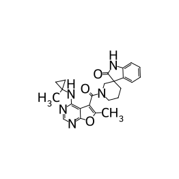 Cc1oc2ncnc(NC3(C)CC3)c2c1C(=O)N1CCCC2(C1)C(=O)Nc1ccccc12